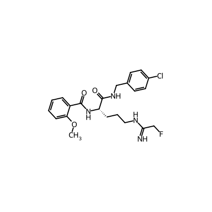 COc1ccccc1C(=O)N[C@@H](CCCNC(=N)CF)C(=O)NCc1ccc(Cl)cc1